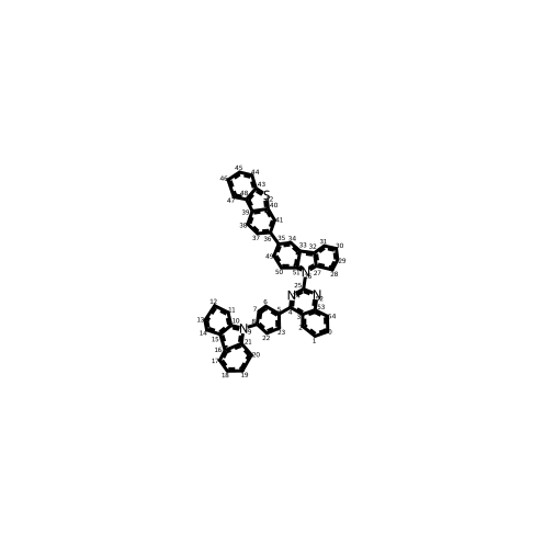 c1ccc2c(-c3ccc(-n4c5ccccc5c5ccccc54)cc3)nc(-n3c4ccccc4c4cc(-c5ccc6c(c5)sc5ccccc56)ccc43)nc2c1